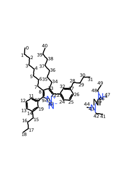 CCCCCCCCC1=C(c2cccc(CCCC)c2)[N+](=[N-])C(c2cccc(CCCC)c2)=C1CCCCCCC.CC[N](C)[Ni][N](C)CC